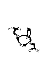 O=C(O)CN1CCOCCN(CC(=O)O)Cc2cccc(n2)C1